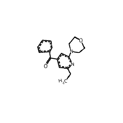 CCc1cc(C(=O)c2ccccc2)cc(N2CCOCC2)n1